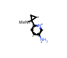 CNC1(c2ccc(N)cn2)CC1